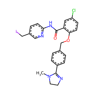 CN1CCN=C1c1ccc(COc2ccc(Cl)cc2C(=O)Nc2ccc(CI)cn2)cc1